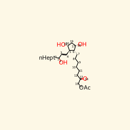 CCCCCCCC(O)/C=C/[C@@H]1[C@@H](CCCCCCC(=O)COC(C)=O)[C@@H](O)C[C@H]1O